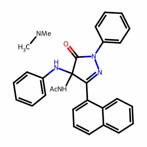 CC(=O)NC1(Nc2ccccc2)C(=O)N(c2ccccc2)N=C1c1cccc2ccccc12.CNC